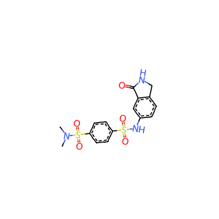 CN(C)S(=O)(=O)c1ccc(S(=O)(=O)Nc2ccc3c(c2)C(=O)NC3)cc1